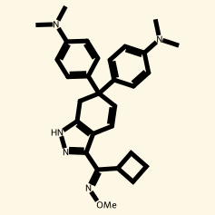 CO/N=C(/c1n[nH]c2c1C=CC(c1ccc(N(C)C)cc1)(c1ccc(N(C)C)cc1)C2)C1CCC1